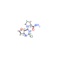 NC(=O)[C@@H]1CCCN1c1nc(Cl)nc2ccoc12